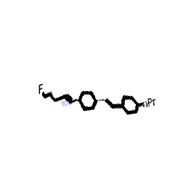 CCCC1CCC(CC[C@H]2CC[C@H](/C=C/CCCF)CC2)CC1